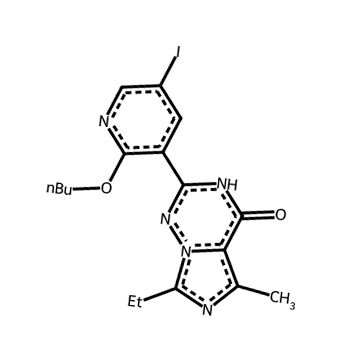 CCCCOc1ncc(I)cc1-c1nn2c(CC)nc(C)c2c(=O)[nH]1